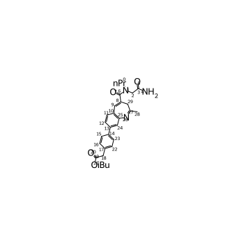 CCCN(CC(N)=O)C(=O)C1=Cc2ccc(-c3ccc(CC(=O)OCC(C)C)cc3)cc2N=C(C)C1